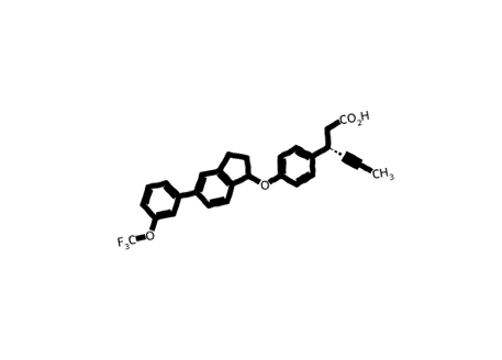 CC#C[C@@H](CC(=O)O)c1ccc(OC2CCc3cc(-c4cccc(OC(F)(F)F)c4)ccc32)cc1